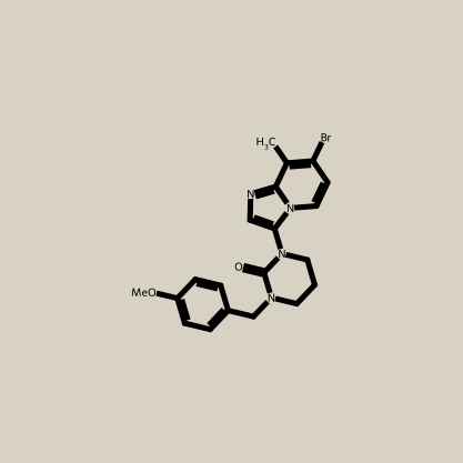 COc1ccc(CN2CCCN(c3cnc4c(C)c(Br)ccn34)C2=O)cc1